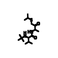 CC(C)SCC(=O)C(C)NC(=O)C(NC(C)(C)C)C(C)C